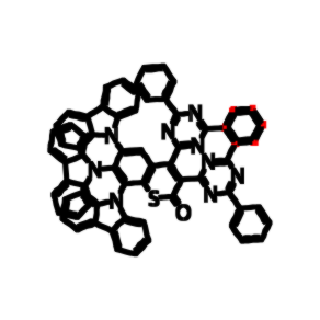 O=c1sc2c(-n3c4ccccc4c4ccccc43)c(-n3c4ccccc4c4ccccc43)c(-n3c4ccccc4c4ccccc43)cc2c(-c2nc(-c3ccccc3)nc(-c3ccccc3)n2)c1-c1nc(-c2ccccc2)nc(-c2ccccc2)n1